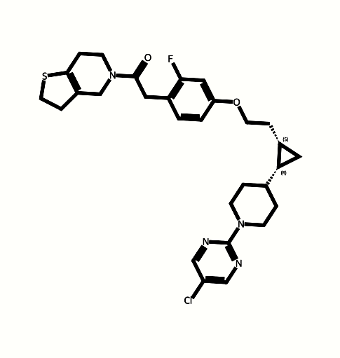 O=C(Cc1ccc(OCC[C@@H]2C[C@@H]2C2CCN(c3ncc(Cl)cn3)CC2)cc1F)N1CCC2=C(CCS2)C1